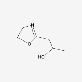 CC(O)CC1=NCCO1